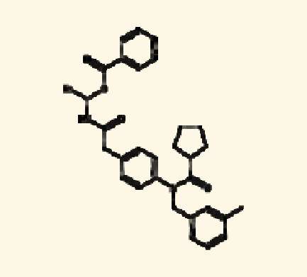 CCC(NC(=O)Cc1ccc(N(Cc2cccc(C)c2)C(=O)C2CCCC2)cc1)OC(=O)c1ccccc1